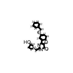 O=c1[nH]c(CN2CC[C@H](O)C2)nc2c1OC1CC=C(OCc3ccccc3)C=C21